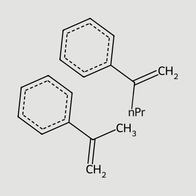 C=C(C)c1ccccc1.C=C(CCC)c1ccccc1